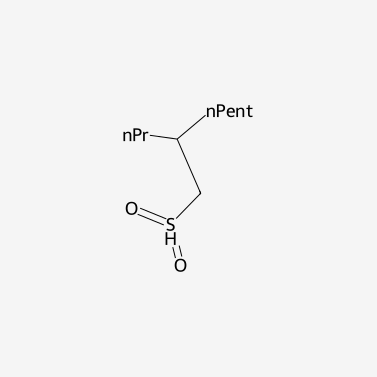 CCCCCC(CCC)C[SH](=O)=O